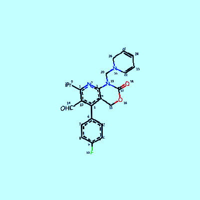 CC(C)c1nc2c(c(-c3ccc(F)cc3)c1C=O)COC(=O)N2CN1C=CC=CC1